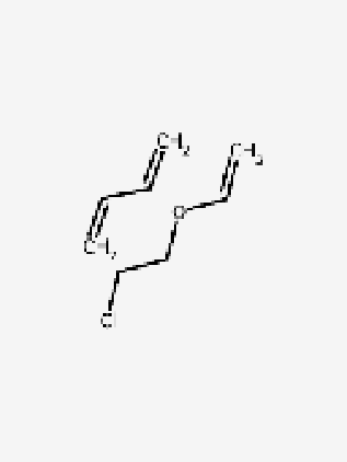 C=CC=C.C=COCCCl